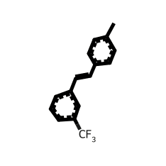 Cc1ccc(/C=C/c2cccc(C(F)(F)F)c2)cc1